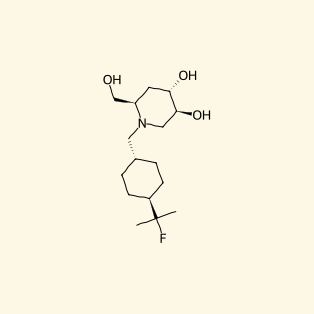 CC(C)(F)[C@H]1CC[C@H](CN2C[C@H](O)[C@@H](O)C[C@@H]2CO)CC1